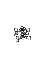 C=CCOCC(Cl)COP(=O)(OCCCl)OCC(CCl)(CCl)COP(=O)(OCCCl)OCC(Cl)COCC=C